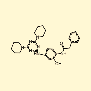 O=C(Cc1ccccc1)Nc1ccc(Nc2nc(N3CCCCC3)nc(N3CCCCC3)n2)cc1O